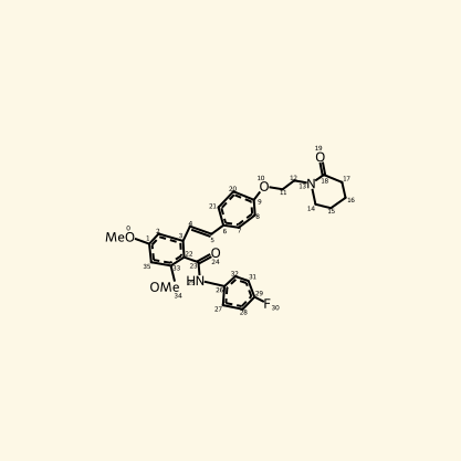 COc1cc(/C=C/c2ccc(OCCN3CCCCC3=O)cc2)c(C(=O)Nc2ccc(F)cc2)c(OC)c1